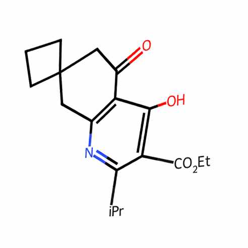 CCOC(=O)c1c(C(C)C)nc2c(c1O)C(=O)CC1(CCC1)C2